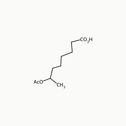 CC(=O)OC(C)CCCCCC(=O)O